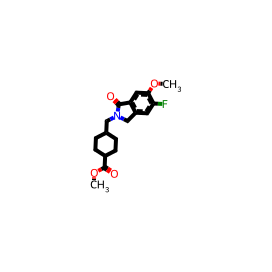 COC(=O)C1CCC(CN2Cc3cc(F)c(OC)cc3C2=O)CC1